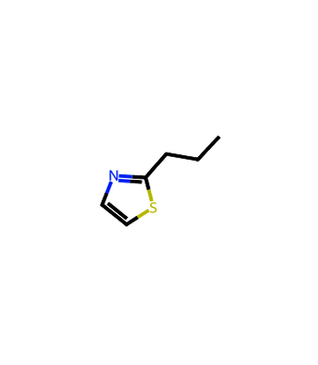 CCCc1nccs1